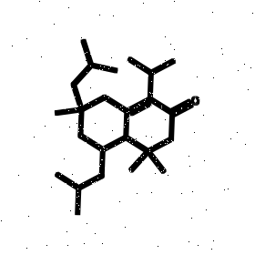 CC(C)CC1CC(C)(CC(C)C)CC2=C(C(C)C)C(=O)CC(C)(C)C21